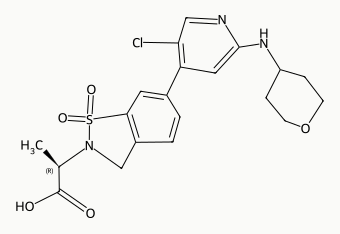 C[C@H](C(=O)O)N1Cc2ccc(-c3cc(NC4CCOCC4)ncc3Cl)cc2S1(=O)=O